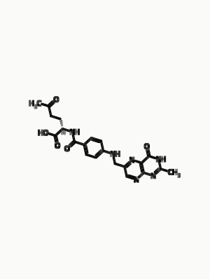 CC(=O)CC[C@H](NC(=O)c1ccc(NCc2cnc3nc(C)[nH]c(=O)c3n2)cc1)C(=O)O